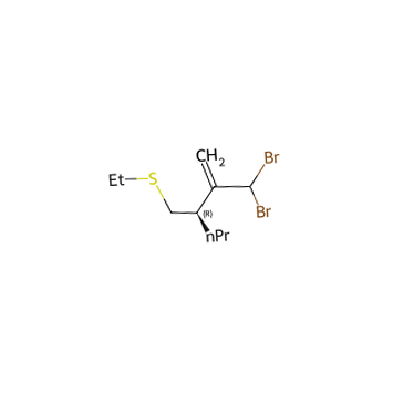 C=C(C(Br)Br)[C@@H](CCC)CSCC